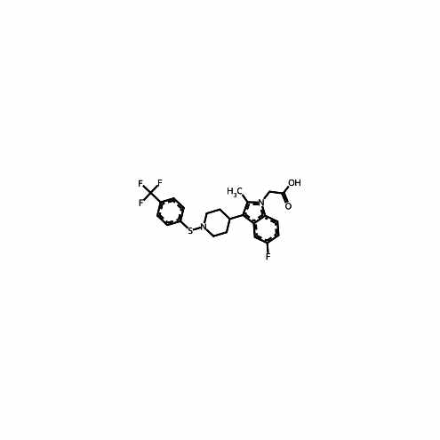 Cc1c(C2CCN(Sc3ccc(C(F)(F)F)cc3)CC2)c2cc(F)ccc2n1CC(=O)O